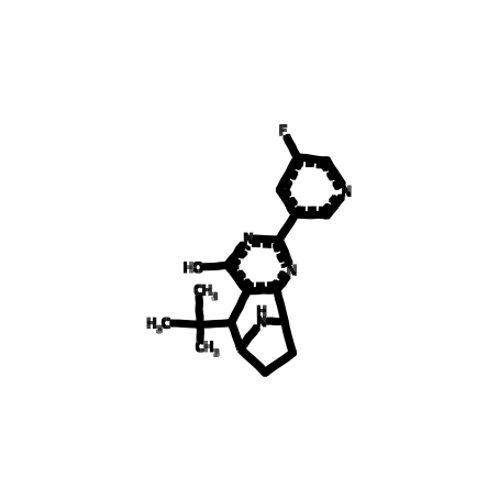 CC(C)(C)C1c2c(O)nc(-c3cncc(F)c3)nc2C2CCC1N2